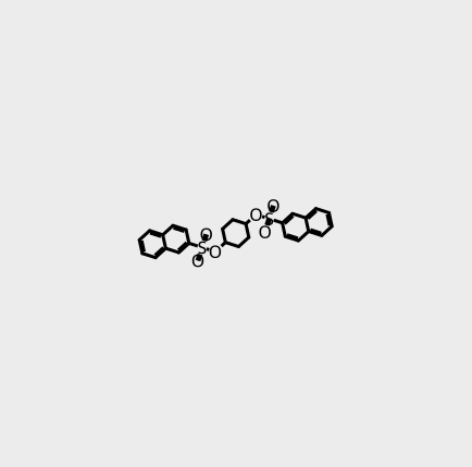 O=S(=O)(OC1CCC(OS(=O)(=O)c2ccc3ccccc3c2)CC1)c1ccc2ccccc2c1